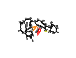 O=P1(c2ccccc2)c2c(ccc3ccccc23)-c2ccc3c(sc4ccccc43)c21